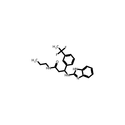 CCCNC(=O)CC(Nc1nc2ccccc2[nH]1)c1cccc(C(C)(F)F)c1